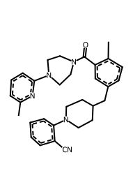 Cc1cccc(N2CCN(C(=O)c3cc(CC4CCN(c5ccccc5C#N)CC4)ccc3C)CC2)n1